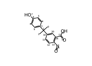 CC(C)(c1ccc(O)cc1)c1ccc(N=O)c(C(=O)O)c1